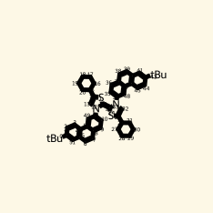 CC(C)(C)c1ccc2c(ccc3ccc(N4C=C(C5CCCCC5)S/C4=C4/SC(C5CCCCC5)=CN4c4ccc5ccc6cc(C(C)(C)C)ccc6c5c4)cc32)c1